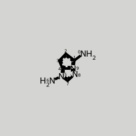 Nc1ccc2n(N)cnn12